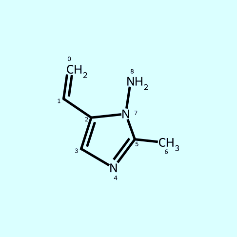 C=Cc1cnc(C)n1N